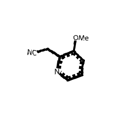 COc1cccnc1CC#N